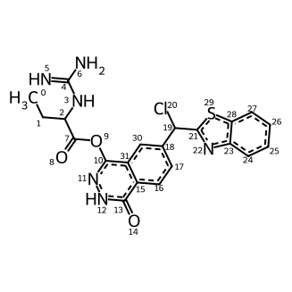 CCC(NC(=N)N)C(=O)Oc1n[nH]c(=O)c2ccc(C(Cl)c3nc4ccccc4s3)cc12